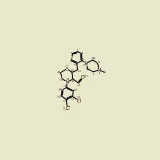 CN1CCN(c2ccccc2CC2SCCN(c3ccc(Cl)c(Cl)c3)C2C=O)CC1